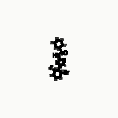 O=C(Nc1ncn(-c2c(F)cccc2Br)n1)c1ccccc1